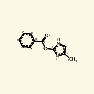 Cc1c[nH]c(OC(=O)c2ccccc2)n1